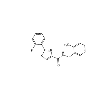 O=C(NCc1ccccc1C(F)(F)F)c1csc(-c2ccccc2F)n1